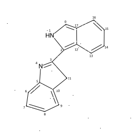 [c]1[nH]c(C2=Nc3ccccc3C2)c2ccccc12